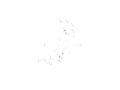 C[C@]1(F)[C@@H](CO)O[C@@H](n2nnc3c(=O)[nH]c(N)nc32)[C@@H]1P(O)(=S)OC[C@H]1O[C@@H](n2nnc3c(N)ncnc32)[C@@H](F)[C@@H]1O